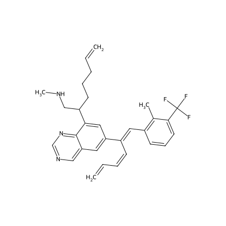 C=C/C=C\C(=C/c1cccc(C(F)(F)F)c1C)c1cc(C(CCCC=C)CNC)c2ncncc2c1